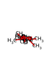 CCCCCCCCCCC[C@H](CC(=O)N[C@@H](COCc1ccccc1)CO[C@@H]1O[C@@H]2COC(C)(C)O[C@H]2[C@H](OC(=O)C[C@@H](CCCCCCCCCCC)OC(=O)CCCCCCCCC)[C@H]1NC(=O)OCC(Cl)(Cl)Cl)OC(=O)CCCCCCCCC